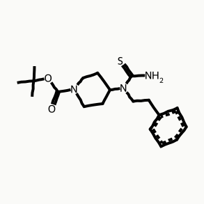 CC(C)(C)OC(=O)N1CCC(N(CCc2ccccc2)C(N)=S)CC1